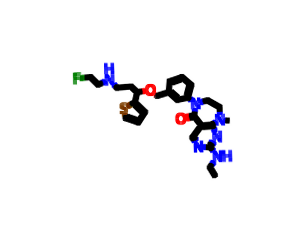 CCNc1ncc2c(n1)N(C)CCN(c1cccc(COC(CCNCCF)c3cccs3)c1)C2=O